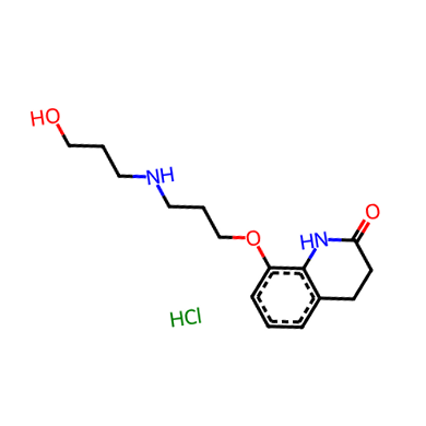 Cl.O=C1CCc2cccc(OCCCNCCCO)c2N1